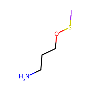 NCCCOSI